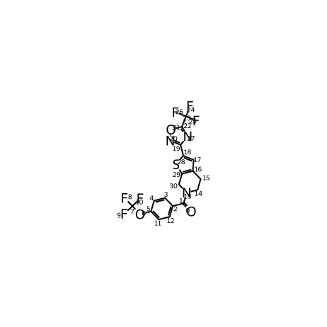 O=C(c1ccc(OC(F)(F)F)cc1)N1CCc2cc(-c3noc(C(F)(F)F)n3)sc2C1